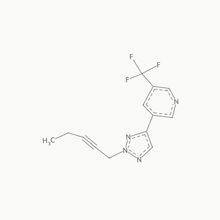 CCC#CCn1ncc(-c2cncc(C(F)(F)F)c2)n1